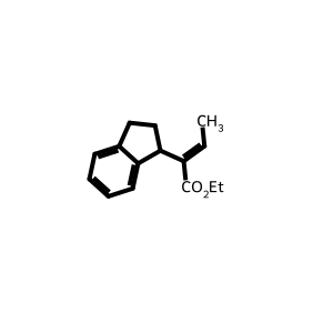 C/C=C(/C(=O)OCC)C1CCc2ccccc21